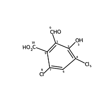 O=Cc1c(O)c(Cl)cc(Cl)c1C(=O)O